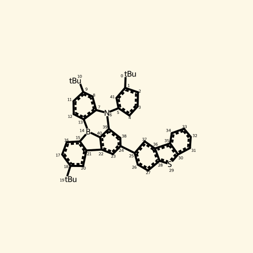 CC(C)(C)c1cccc(N2c3cc(C(C)(C)C)ccc3B3c4ccc(C(C)(C)C)cc4-c4cc(-c5ccc6sc7ccccc7c6c5)cc2c43)c1